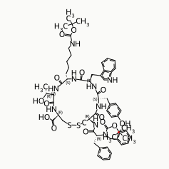 C[C@@H](O)[C@@H]1NC(=O)[C@H](CCCCCNC(=O)OC(C)(C)C)NC(=O)[C@@H](Cc2c[nH]c3ccccc23)NC(=O)[C@H](Cc2ccc(O)cc2)NC(=O)[C@@H](NC(=O)[C@@H](Cc2ccccc2)N(Cc2ccccc2)C(=O)OC(C)(C)C)CSSC[C@@H](C(=O)O)NC1=O